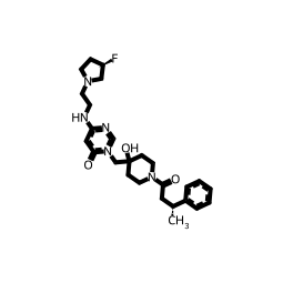 C[C@H](CC(=O)N1CCC(O)(Cn2cnc(NCCN3CC[C@@H](F)C3)cc2=O)CC1)c1ccccc1